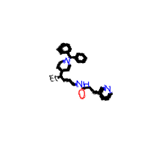 CCC(CCCNC(=O)CCc1cccnc1)C1CCN(C(c2ccccc2)c2ccccc2)CC1